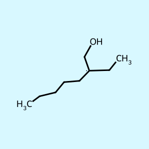 CCCCC[C](CC)CO